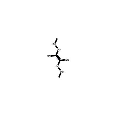 CNN/C(S)=C(\S)NNC